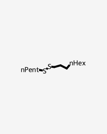 CCCCCCCCCSSCCCCC